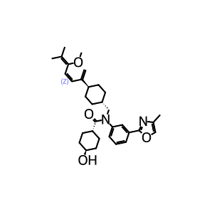 C=C(/C=C\C(OC)=C(C)C)[C@H]1CC[C@H](CN(c2cccc(-c3nc(C)co3)c2)C(=O)[C@H]2CC[C@H](O)CC2)CC1